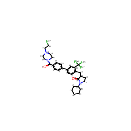 O=C(c1ccc(-c2ccc(CC3CCN(C4CCCCC4)C3=O)c(C(F)(F)F)c2)cc1)N1CCN(CCF)CC1